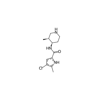 Cc1[nH]c(C(=O)N[C@@H]2CCNC[C@@H]2C)cc1Cl